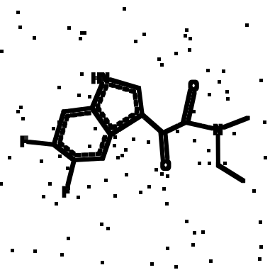 CCN(C)C(=O)C(=O)c1c[nH]c2cc(F)c(F)cc12